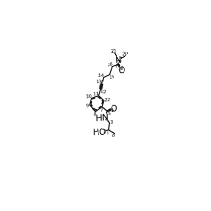 CC(O)CNC(=O)c1cccc(C#CCCCC(=O)N(C)C)c1